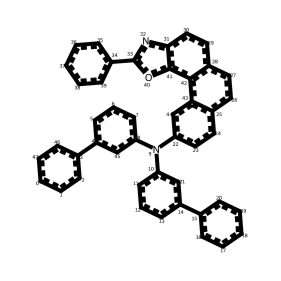 c1ccc(-c2cccc(N(c3cccc(-c4ccccc4)c3)c3ccc4ccc5ccc6nc(-c7ccccc7)oc6c5c4c3)c2)cc1